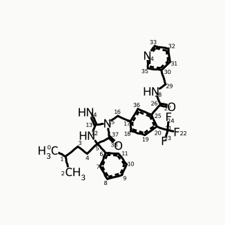 CC(C)CCC1(c2ccccc2)NC(=N)N(Cc2ccc(C(F)(F)F)c(C(=O)NCc3cccnc3)c2)C1=O